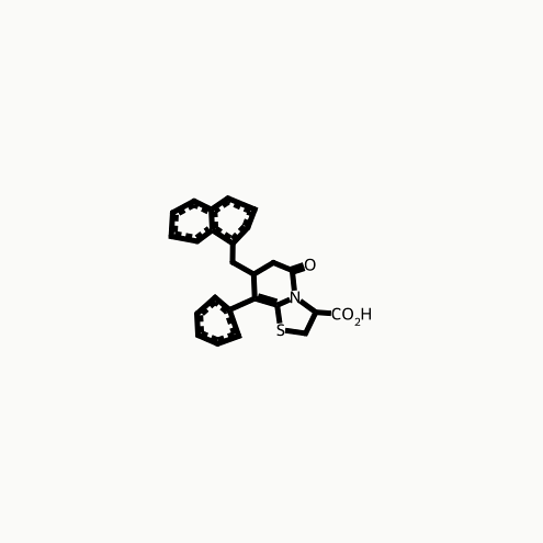 O=C(O)C1CSC2=C(c3ccccc3)C(Cc3cccc4ccccc34)CC(=O)N21